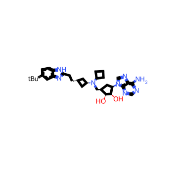 CC(C)(C)c1ccc2[nH]c(CC[C@H]3C[C@@H](N(C[C@H]4C[C@@H](n5cnc6c(N)ncnc65)[C@H](O)[C@@H]4O)C4CCC4)C3)nc2c1